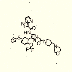 O=C(Nc1cn(CC(=O)N2CCC(CN3CCOCC3)CC2)nc1C1CC(SC2COC2)=CC=C1OC(F)F)c1cnn2cccnc12